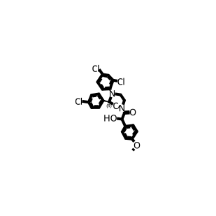 COc1ccc(C(O)C(=O)N2CCN(c3ccc(Cl)cc3Cl)[C@H](c3ccc(Cl)cc3)C2)cc1